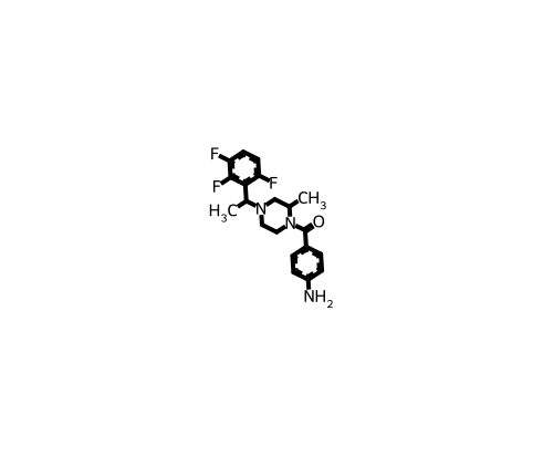 CC(c1c(F)ccc(F)c1F)N1CCN(C(=O)c2ccc(N)cc2)C(C)C1